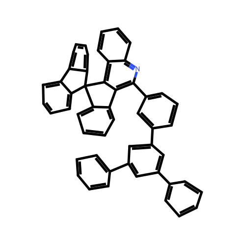 c1ccc(-c2cc(-c3ccccc3)cc(-c3cccc(-c4nc5ccccc5c5c4-c4ccccc4C54c5ccccc5-c5ccccc54)c3)c2)cc1